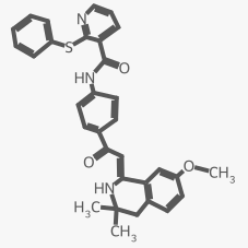 COc1ccc2c(c1)/C(=C/C(=O)c1ccc(NC(=O)c3cccnc3Sc3ccccc3)cc1)NC(C)(C)C2